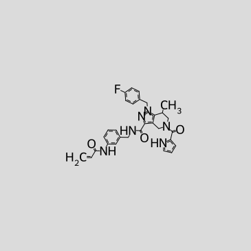 C=CC(=O)Nc1cccc(CNC(=O)c2nn(Cc3ccc(F)cc3)c3c2CN(C(=O)c2ccc[nH]2)CC3C)c1